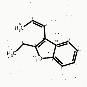 C/C=C\c1c(CC)oc2ccccc12